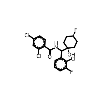 O=C(NC(c1cccc(F)c1Cl)[C@]1(O)CC[C@@H](F)CC1)c1ccc(Cl)cc1Cl